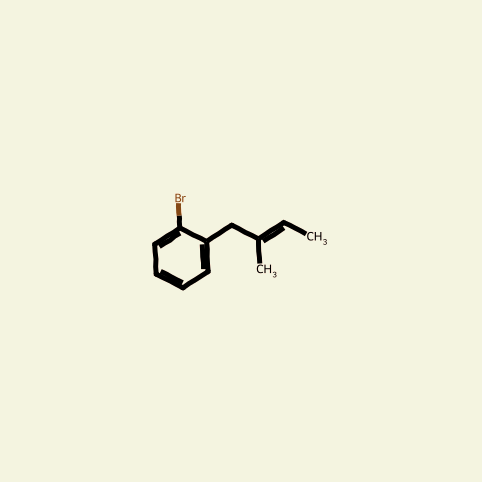 C/C=C(\C)Cc1ccccc1Br